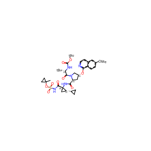 COc1ccc2c(O[C@@H]3C[C@@H](C(=O)N[C@]4(C(=O)NS(=O)(=O)OC5(C)CC5)C[C@H]4C4CC4)N(C(=O)[C@@H](NC(=O)OC(C)(C)C)C(C)(C)C)C3)nccc2c1